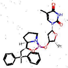 Cc1cn([C@H]2CC(OP3O[C@@H](C[Si](C)(c4ccccc4)c4ccccc4)[C@H]4CCCN43)[C@@H](C(C)C)O2)c(=O)[nH]c1=O